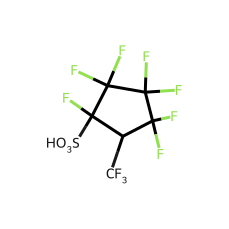 O=S(=O)(O)C1(F)C(C(F)(F)F)C(F)(F)C(F)(F)C1(F)F